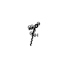 CCCCCCCCNC(=O)C=CSN(C(=O)CC(C)=O)c1ccc(OC)cc1